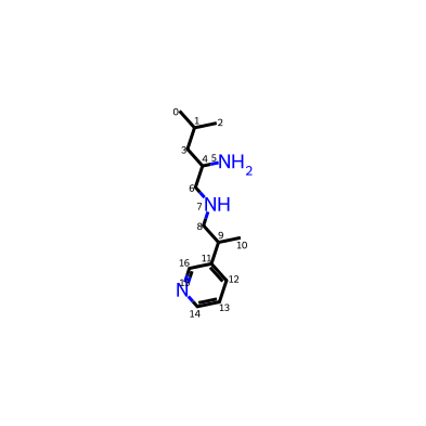 CC(C)CC(N)CNCC(C)c1cccnc1